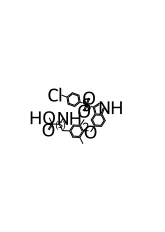 Cc1cc(C[C@H](N)C(=O)O)cc(C)c1Oc1ccc2[nH]cc(S(=O)(=O)c3ccc(Cl)cc3)c2c1